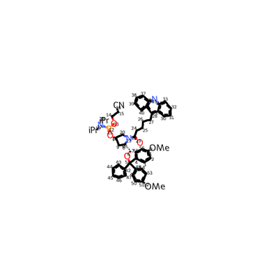 COc1ccc(C(OC[C@@H]2C[C@@H](OP(OCCC#N)N(C(C)C)C(C)C)CN2C(=O)CCCCc2c3ccccc3nc3ccccc23)(c2ccccc2)c2ccc(OC)cc2)cc1